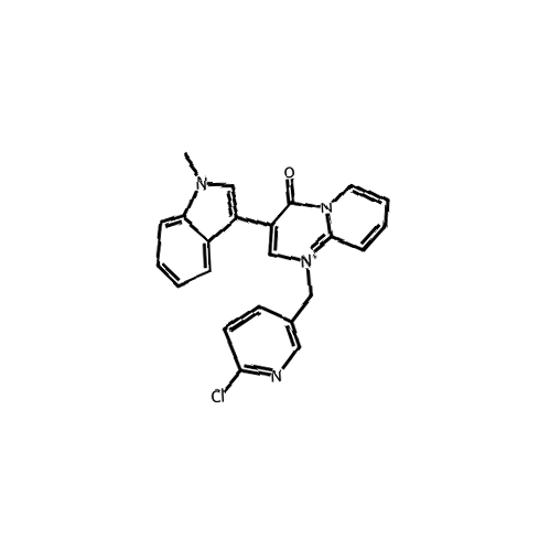 Cn1cc(-c2c[n+](Cc3ccc(Cl)nc3)c3ccccn3c2=O)c2ccccc21